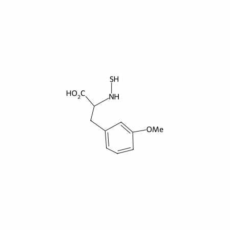 COc1cccc(CC(NS)C(=O)O)c1